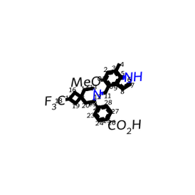 COc1cc(C)c2[nH]ccc2c1CN1CCC2(CC(C(F)(F)F)C2)C[C@@H]1c1ccc(C(=O)O)cc1